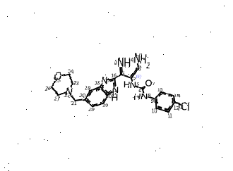 N=C(/C(=C\N)NC(=O)Nc1ccc(Cl)cc1)c1nc2cc(CN3CCOCC3)ccc2[nH]1